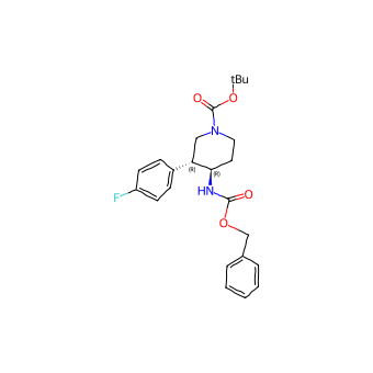 CC(C)(C)OC(=O)N1CC[C@@H](NC(=O)OCc2ccccc2)[C@H](c2ccc(F)cc2)C1